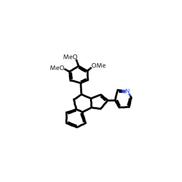 COc1cc(C2Cc3ccccc3C3CC(c4cccnc4)=CC23)cc(OC)c1OC